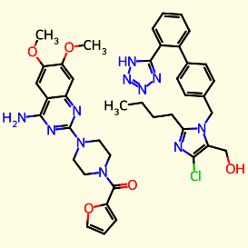 CCCCc1nc(Cl)c(CO)n1Cc1ccc(-c2ccccc2-c2nnn[nH]2)cc1.COc1cc2nc(N3CCN(C(=O)c4ccco4)CC3)nc(N)c2cc1OC